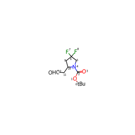 CC(C)(C)OC(=O)N1CC(F)(F)CC1CC=O